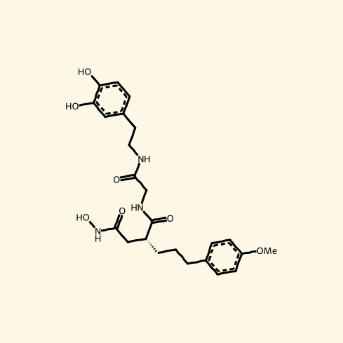 COc1ccc(CCC[C@H](CC(=O)NO)C(=O)NCC(=O)NCCc2ccc(O)c(O)c2)cc1